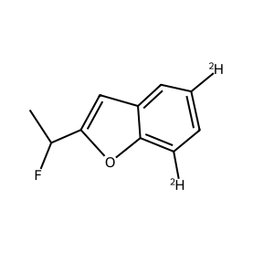 [2H]c1cc([2H])c2oc(C(C)F)cc2c1